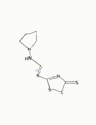 S=c1nc(/N=C/NN2CCCC2)ss1